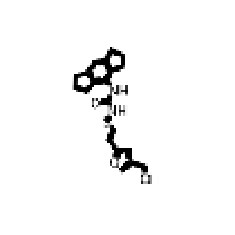 O=C(NS/C=C/c1cc(CO)co1)Nc1c2c(cc3c1CCC3)CCC2